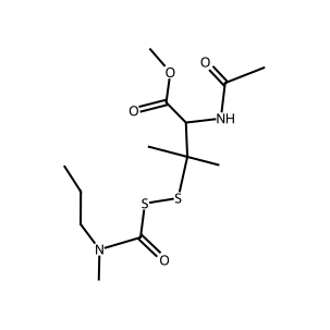 CCCN(C)C(=O)SSC(C)(C)C(NC(C)=O)C(=O)OC